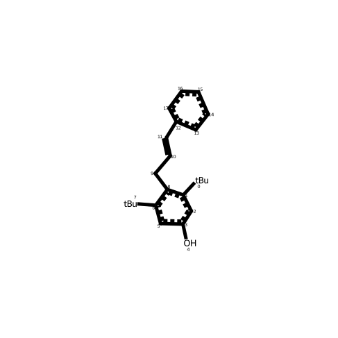 CC(C)(C)c1cc(O)cc(C(C)(C)C)c1CC=Cc1ccccc1